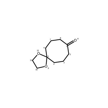 O=C1CCCC2(CCC1)OCCO2